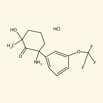 CC1(O)CCCC(N)(c2cccc(OC(F)(F)F)c2)C1=O.Cl